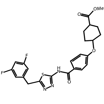 COC(=O)C1CCC(Oc2ccc(C(=O)Nc3nnc(Cc4cc(F)cc(F)c4)s3)cc2)CC1